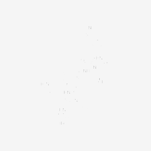 Cc1ncsc1-c1ccc(CNC(=O)[C@@H]2C[C@@H](O)CN2C(=O)[C@@H](NC(=O)Cc2cccc(OC[C@H](CCC(N)=O)NC(=O)[C@@H]3Cc4cccc5c4N3C(=O)[C@@H](NC(=O)OC(C)(C)C)CC5)c2)C(C)(C)C)cc1